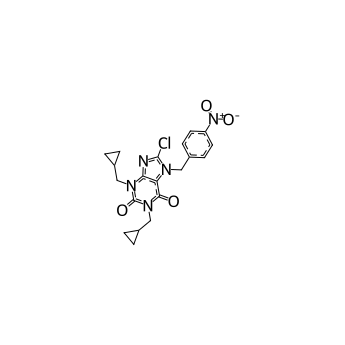 O=c1c2c(nc(Cl)n2Cc2ccc([N+](=O)[O-])cc2)n(CC2CC2)c(=O)n1CC1CC1